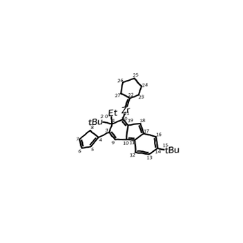 CCC1(C(C)(C)C)C(C2=CC=CC2)=CC2=c3ccc(C(C)(C)C)cc3=CC2=[C]1[Zr]=[C]1CCCCC1